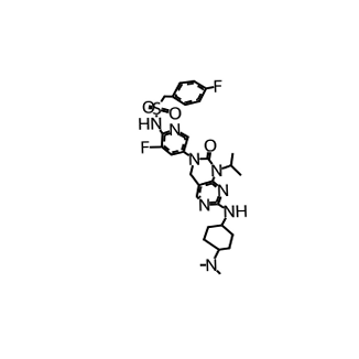 CC(C)N1C(=O)N(c2cnc(NS(=O)(=O)Cc3ccc(F)cc3)c(F)c2)Cc2cnc(NC3CCC(N(C)C)CC3)nc21